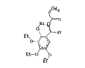 C=CC(=O)OC(CC)c1cc(OCC)c(OCC)c(OCC)c1OCC